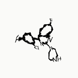 Fc1ccc(-c2nc(N3CCNCC3)nc3cc(F)ccc23)c(Cl)c1